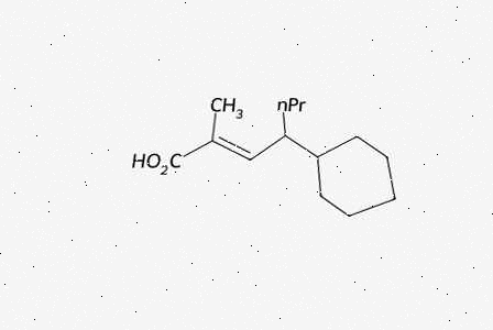 CCCC(C=C(C)C(=O)O)C1CCCCC1